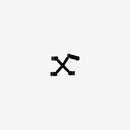 O=PC(O)(O)O